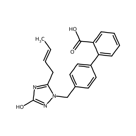 CC=CCc1nc(O)nn1Cc1ccc(-c2ccccc2C(=O)O)cc1